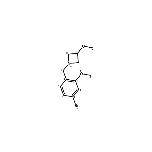 COc1cc(Br)ccc1CN1CC(OC)C1